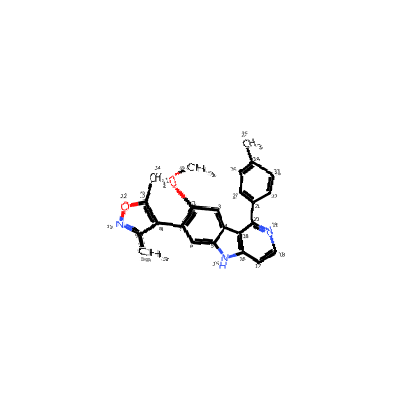 COc1cc2c(cc1-c1c(C)noc1C)[nH]c1ccnc(-c3ccc(C)cc3)c12